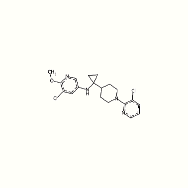 COc1ncc(NC2(C3CCN(c4ncccc4Cl)CC3)CC2)cc1Cl